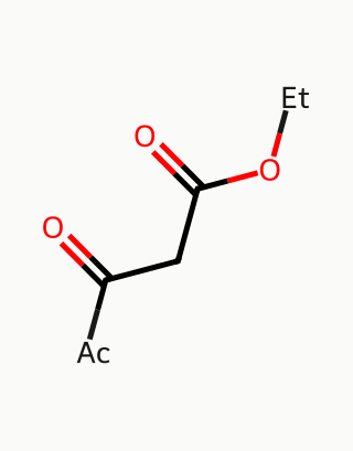 CCOC(=O)CC(=O)C(C)=O